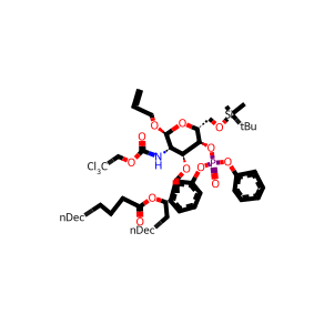 C=CCO[C@H]1O[C@H](CO[Si](C)(C)C(C)(C)C)[C@@H](OP(=O)(Oc2ccccc2)Oc2ccccc2)[C@H](OCC[C@H](CCCCCCCCCCC)OC(=O)CCCCCCCCCCCCC)[C@@H]1NC(=O)OCC(Cl)(Cl)Cl